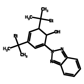 CCC(C)(C)C1=CC(C(C)(C)CC)C(O)C(n2nc3ccccc3n2)=C1